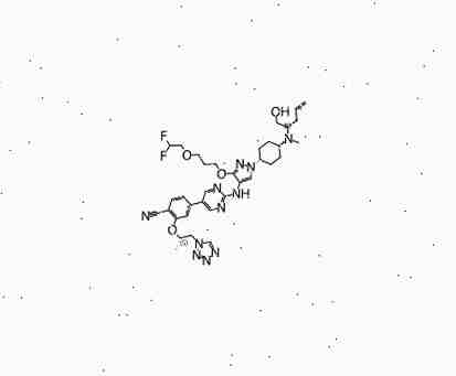 C=CC[C@H](CO)N(C)[C@H]1CC[C@H](n2cc(Nc3ncc(-c4ccc(C#N)c(O[C@@H](C)Cn5cnnn5)c4)cn3)c(OCCCOCC(F)F)n2)CC1